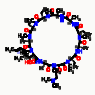 C/C=C/C[C@@H](C)[C@@H](O)[C@H]1C(=O)N[C@@H](CC)C(=O)N(C)C(OCCN(C)C)C(=O)N(C)[C@@H](CC(C)C)C(=O)N[C@@H](C(C)C)C(=O)N(C)[C@@H](CC(C)C)C(=O)N[C@@H](C)C(=O)N[C@H](C)C(=O)N(C)[C@@H](CC(C)C)C(=O)N(C)[C@@H](CC(C)C)C(=O)N(C)[C@@H](C(C)C)C(=O)N1C